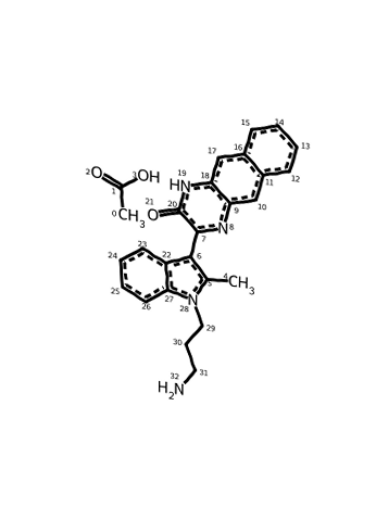 CC(=O)O.Cc1c(-c2nc3cc4ccccc4cc3[nH]c2=O)c2ccccc2n1CCCN